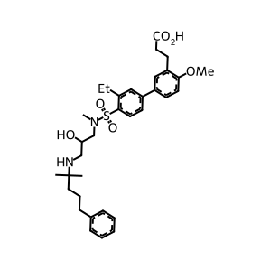 CCc1cc(-c2ccc(OC)c(CCC(=O)O)c2)ccc1S(=O)(=O)N(C)CC(O)CNC(C)(C)CCCc1ccccc1